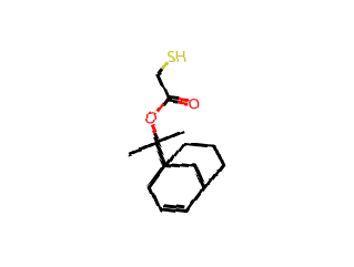 CC(C)(OC(=O)CS)C12CC=CC(CCC1)C2